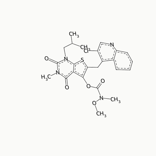 CON(C)C(=O)Oc1c(Cc2c(Cl)cnc3ccccc23)sc2c1c(=O)n(C)c(=O)n2CC(C)C